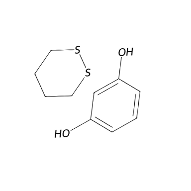 C1CCSSC1.Oc1cccc(O)c1